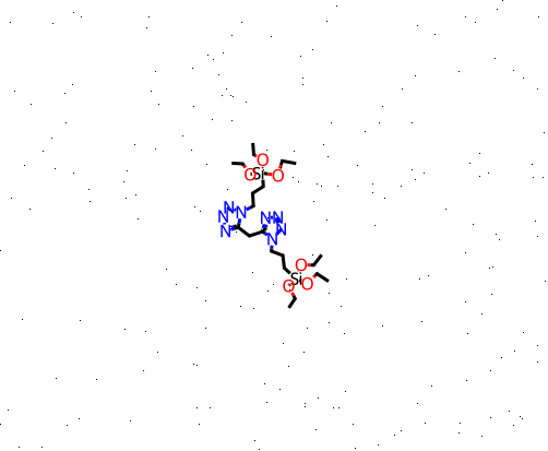 CCO[Si](CCCn1nnnc1Cc1nnnn1CCC[Si](OCC)(OCC)OCC)(OCC)OCC